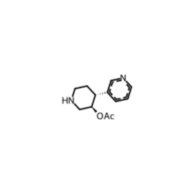 CC(=O)O[C@H]1CNCC[C@@H]1c1cccnc1